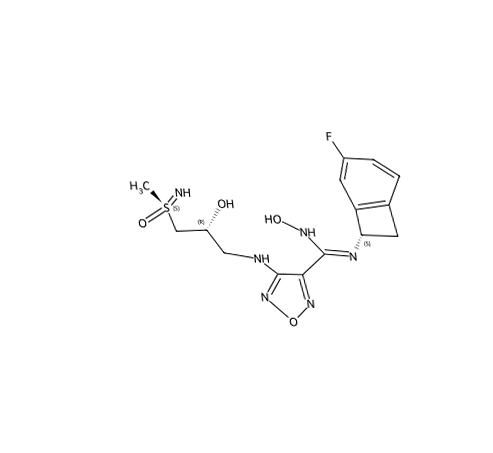 C[S@](=N)(=O)C[C@H](O)CNc1nonc1C(=N[C@H]1Cc2ccc(F)cc21)NO